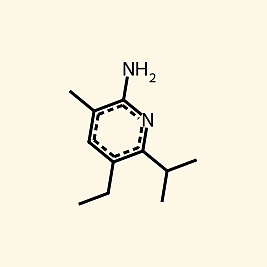 CCc1cc(C)c(N)nc1C(C)C